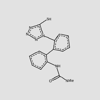 CNC(=O)Nc1ccccc1-c1ccccc1-n1nnnc1S